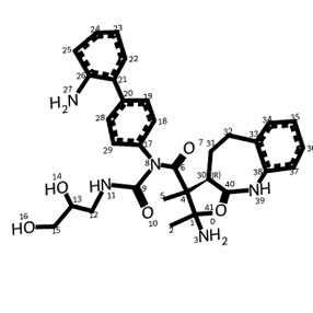 CC(C)(N)C(C)(C(=O)N(C(=O)NCC(O)CO)c1ccc(-c2ccccc2N)cc1)[C@H]1CCc2ccccc2NC1=O